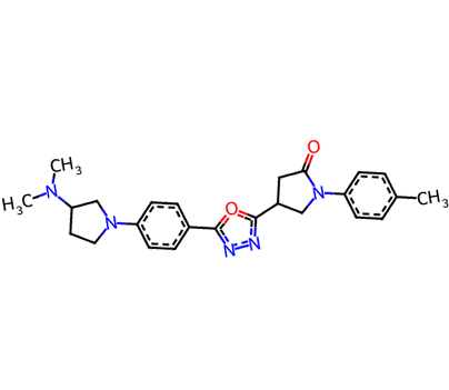 Cc1ccc(N2CC(c3nnc(-c4ccc(N5CCC(N(C)C)C5)cc4)o3)CC2=O)cc1